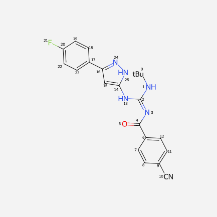 CC(C)(C)N/C(=N/C(=O)c1ccc(C#N)cc1)Nc1cc(-c2ccc(F)cc2)n[nH]1